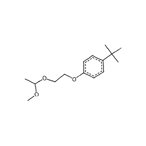 COC(C)OCCOc1ccc(C(C)(C)C)cc1